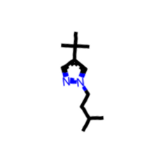 CC(C)CCn1cc(C(C)(C)C)cn1